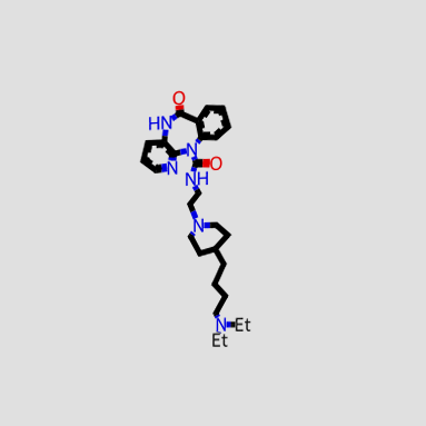 CCN(CC)CCCCC1CCN(CCNC(=O)N2c3ccccc3C(=O)Nc3cccnc32)CC1